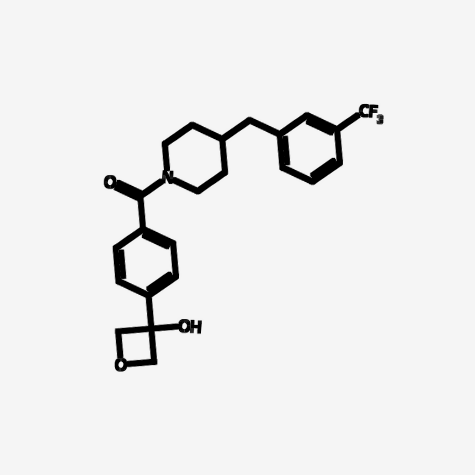 O=C(c1ccc(C2(O)COC2)cc1)N1CCC(Cc2cccc(C(F)(F)F)c2)CC1